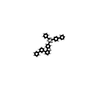 c1ccc(-c2ccc(-c3nc(-c4ccccc4)nc(-c4ccc5c(c4)sc4cccc(-c6cccc(-c7ccccc7)c6)c45)n3)cc2)cc1